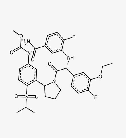 CCOc1cc([C@@H](Nc2cc(C(N)=O)ccc2F)C(=O)N2CCCC2c2cc(NC(=O)OC)ccc2S(=O)(=O)C(C)C)ccc1F